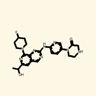 CC(O)c1cc2cnc(Nc3ccc(N4CCNCC4=O)cn3)nc2c(N2CCC(F)CC2)n1